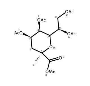 COC(=O)[C@@]1(F)C[C@@H](OC(C)=O)[C@@H](OC(C)=O)C([C@@H](COC(C)=O)OC(C)=O)O1